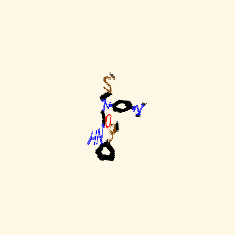 CSCCN(CC(=O)Nc1ccccc1SC)c1ccc(N(C)C)cc1